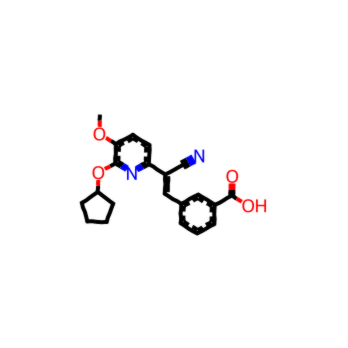 COc1ccc(C(C#N)=Cc2cccc(C(=O)O)c2)nc1OC1CCCC1